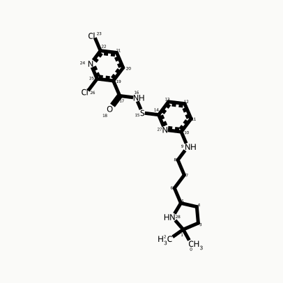 CC1(C)CCC(CCCNc2cccc(SNC(=O)c3ccc(Cl)nc3Cl)n2)N1